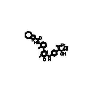 Cc1c(NC(=O)c2cc3c(s2)CCCCC3)cccc1-c1cn(C)c(=O)c(Nc2ccc(C(C(O)N3CCC3)N(C)C(C)C)cc2)n1